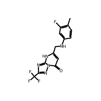 Cc1ccc(NCc2cc(=O)n3nc(C(F)(F)F)nc3[nH]2)cc1F